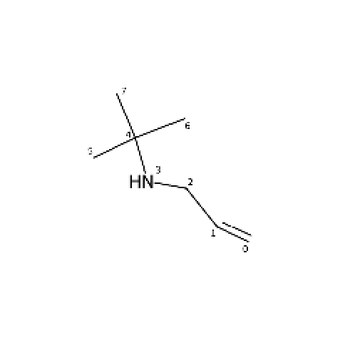 C=CCNC(C)(C)C